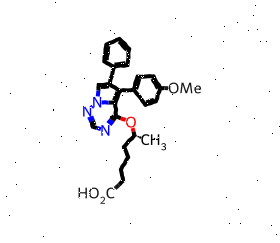 COc1ccc(-c2c(-c3ccccc3)cn3ncnc(O[C@H](C)CCCCC(=O)O)c23)cc1